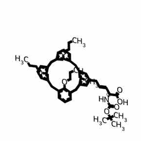 CCCOc1c2cccc1Cc1cccc(c1OCCC)Cc1cccc(c1OCCC)Cc1cc(CC=C[C@H](NC(=O)OC(C)(C)C)C(=O)O)cc(c1C)C2